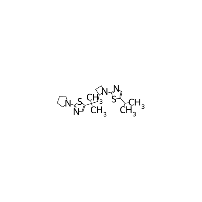 CC(C)c1cnc(N2CCC2CC(C)(C)c2cnc(N3CCCC3)s2)s1